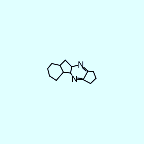 C1CC2=NC3CC4CCCCC4C3N=C2C1